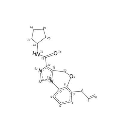 C=CCc1cccc2c1OCc1c(C(=O)NC3CCCC3)ncn1-2